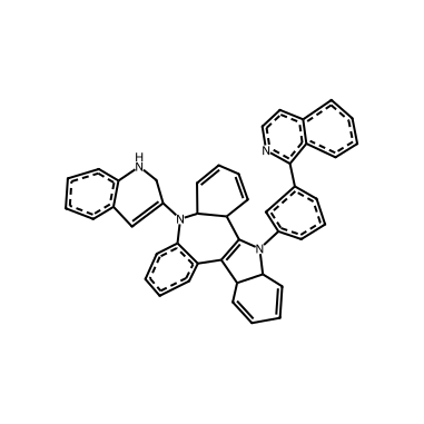 C1=CC2C3=C(C4C=CC=CC4N(C4=Cc5ccccc5NC4)c4ccccc43)N(c3cccc(-c4nccc5ccccc45)c3)C2C=C1